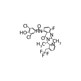 Cc1nc2c(F)ccc(NC(=O)c3cc(Cl)c(O)c(Cl)c3)c2c(=O)n1[C@H](C)c1ncccc1CC(F)(F)F